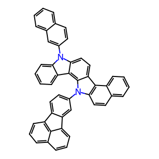 c1ccc2cc(-n3c4ccccc4c4c3ccc3c5c6ccccc6ccc5n(-c5ccc6c(c5)-c5cccc7cccc-6c57)c34)ccc2c1